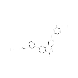 O=C(O)C=Cc1cccc(-c2ccc3c(c2)C(=CNCc2ccc(O)c(O)c2)C(=O)NC3=O)c1